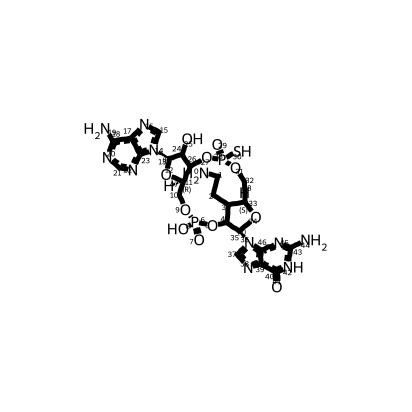 NCCC1C2OP(=O)(O)OC[C@H]3O[C@@H](n4cnc5c(N)ncnc54)C(O)C3OP(=O)(S)OC[C@H]1O[C@H]2n1cnc2c(=O)[nH]c(N)nc21